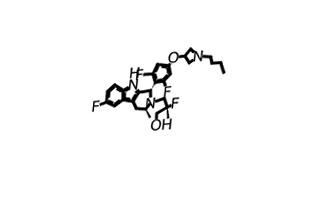 CCCCN1CC(Oc2cc(F)c([C@H]3c4[nH]c5ccc(F)cc5c4C[C@H](C)N3C[C@](C)(F)CO)c(F)c2)C1